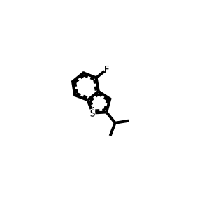 CC(C)c1cc2c(F)cccc2s1